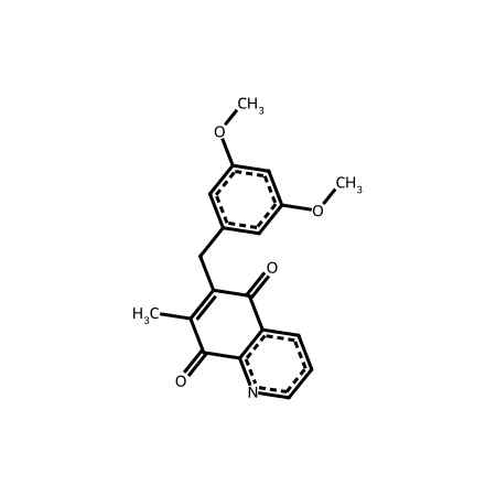 COc1cc(CC2=C(C)C(=O)c3ncccc3C2=O)cc(OC)c1